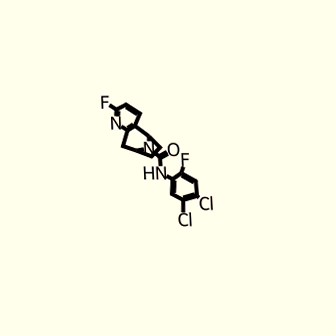 O=C(Nc1cc(Cl)c(Cl)cc1F)N1C2CCC1c1ccc(F)nc1C2